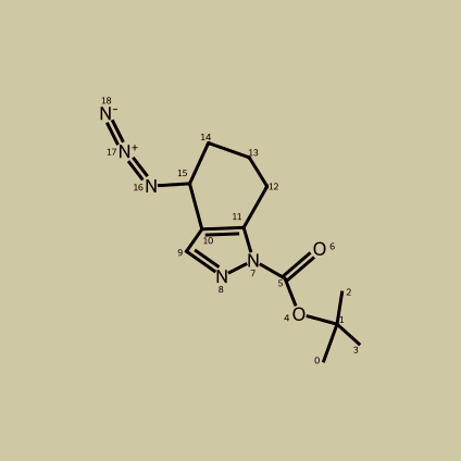 CC(C)(C)OC(=O)n1ncc2c1CCCC2N=[N+]=[N-]